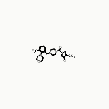 O=C(O)c1nn(C(=O)N2CCN(Cc3cccc(C(F)(F)F)c3N3CCOCC3)CC2)cc1Cl